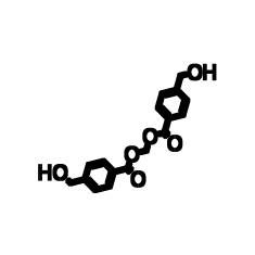 O=C(OCOC(=O)c1ccc(CO)cc1)c1ccc(CO)cc1